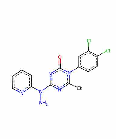 CCc1nc(N(N)c2ccccn2)nc(=O)n1-c1ccc(Cl)c(Cl)c1